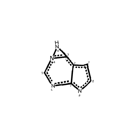 c1cc2c3n(cnc-2n1)N3